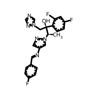 C[C@@H](n1cc(N=Cc2ccc(F)cc2)cn1)[C@](O)(Cn1cncn1)c1ccc(F)cc1F